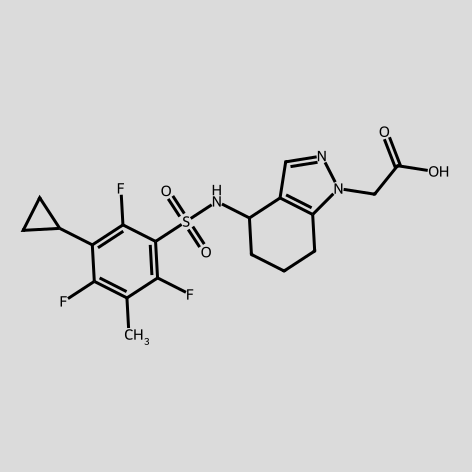 Cc1c(F)c(C2CC2)c(F)c(S(=O)(=O)NC2CCCc3c2cnn3CC(=O)O)c1F